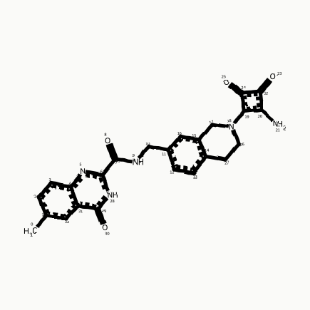 Cc1ccc2nc(C(=O)NCc3ccc4c(c3)CN(c3c(N)c(=O)c3=O)CC4)[nH]c(=O)c2c1